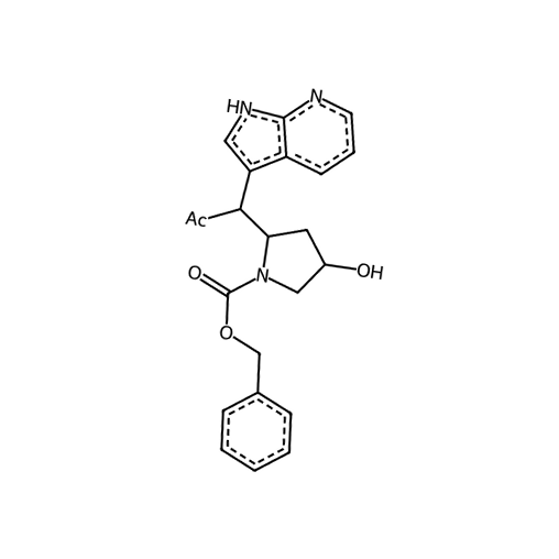 CC(=O)C(c1c[nH]c2ncccc12)C1CC(O)CN1C(=O)OCc1ccccc1